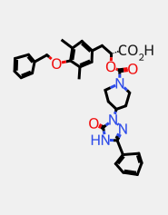 Cc1cc(C[C@@H](OC(=O)N2CCC(n3nc(-c4ccccc4)[nH]c3=O)CC2)C(=O)O)cc(C)c1OCc1ccccc1